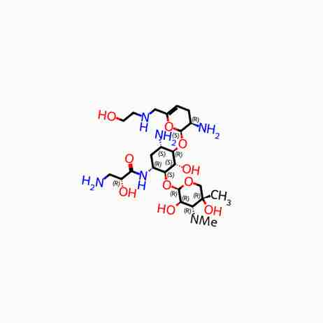 CN[C@@H]1[C@@H](O)[C@@H](O[C@@H]2[C@@H](O)[C@H](O[C@H]3OC(CNCCO)=CC[C@H]3N)[C@@H](N)C[C@H]2NC(=O)[C@H](O)CN)OC[C@]1(C)O